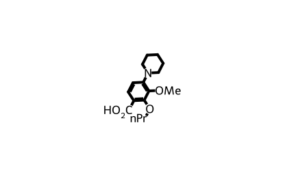 CCCOc1c(C(=O)O)ccc(N2CCCCC2)c1OC